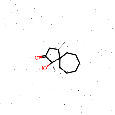 C[C@H]1CC(=O)[C@](C)(O)C12CCCCCC2